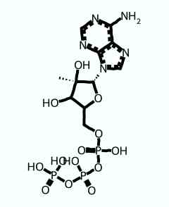 C[C@@]1(O)C(O)C(COP(=O)(O)OP(=O)(O)OP(=O)(O)O)O[C@H]1n1cnc2c(N)ncnc21